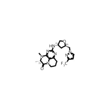 C[C@H]1C(=O)N2CCCc3nc(N[C@@H]4CO[C@@H](Cn5ccc(C(F)(F)F)n5)C4)nc(c32)N1C